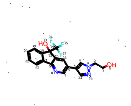 OCCn1cc(-c2cnc3c(c2)C(O)(C(F)(F)F)c2ccccc2-3)cn1